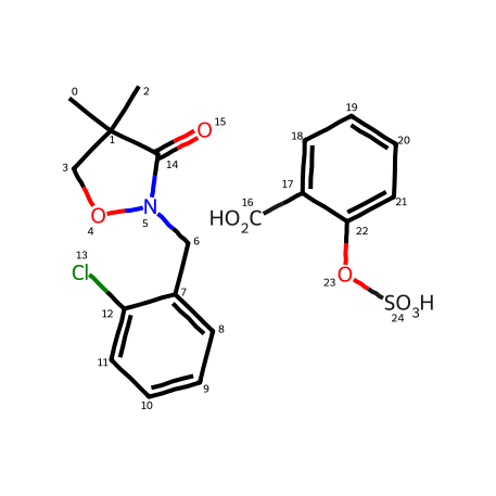 CC1(C)CON(Cc2ccccc2Cl)C1=O.O=C(O)c1ccccc1OS(=O)(=O)O